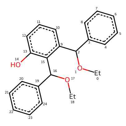 CCOC(c1ccccc1)c1cccc(O)c1C(OCC)c1ccccc1